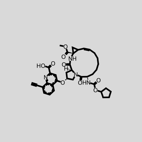 C#Cc1cccc2c(O[C@@H]3C[C@H]4C(=O)N[C@]5(C(=O)OC)CC5/C=C\CCCCC[C@H](NC(=O)OC5CCCC5)C(=O)N4C3)cc(C(=O)O)nc12